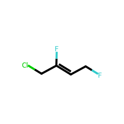 FCC=C(F)CCl